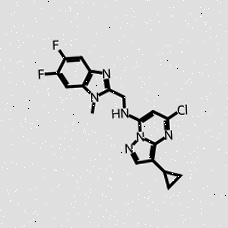 Cn1c(CNc2cc(Cl)nc3c(C4CC4)cnn23)nc2cc(F)c(F)cc21